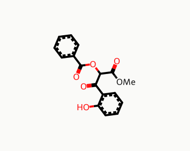 COC(=O)C(OC(=O)c1ccccc1)C(=O)c1ccccc1O